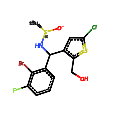 CC(C)(C)[S@@+]([O-])NC(c1cc(Cl)sc1CO)c1cccc(F)c1Br